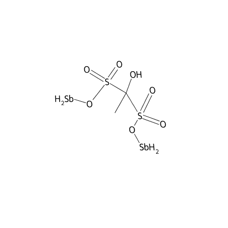 CC(O)(S(=O)(=O)[O][SbH2])S(=O)(=O)[O][SbH2]